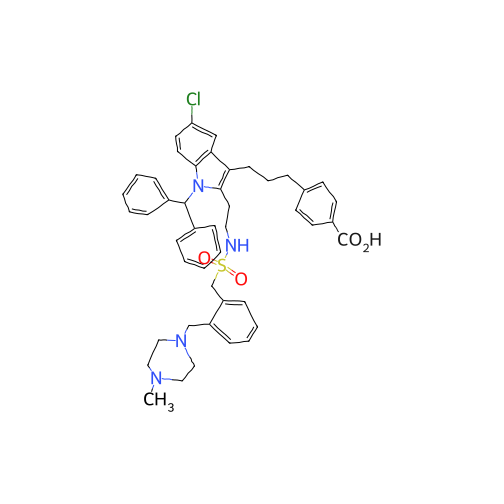 CN1CCN(Cc2ccccc2CS(=O)(=O)NCCc2c(CCCc3ccc(C(=O)O)cc3)c3cc(Cl)ccc3n2C(c2ccccc2)c2ccccc2)CC1